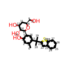 Cc1cc(O)c([C@@H]2O[C@H](CO)C[C@H](O)[C@H]2O)cc1C(C)(C)c1cc2ccccc2s1